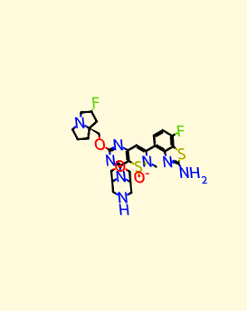 CN1C(c2ccc(F)c3sc(N)nc23)=Cc2nc(OC[C@@]34CCCN3C[C@H](F)C4)nc(N3C4CNCC3COC4)c2[S+]1[O-]